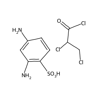 Nc1ccc(S(=O)(=O)O)c(N)c1.O=C(Cl)C(Cl)CCl